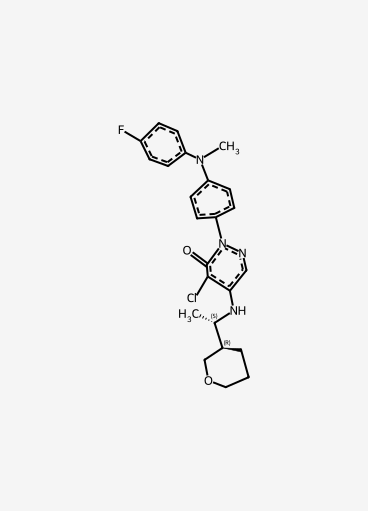 C[C@H](Nc1cnn(-c2ccc(N(C)c3ccc(F)cc3)cc2)c(=O)c1Cl)[C@H]1CCCOC1